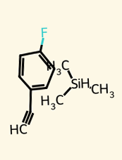 C#Cc1ccc(F)cc1.C[SiH](C)C